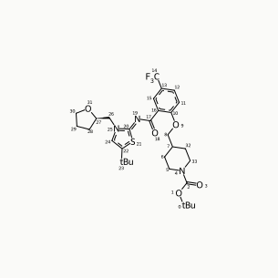 CC(C)(C)OC(=O)N1CCC(COc2ccc(C(F)(F)F)cc2C(=O)N=c2sc(C(C)(C)C)cn2C[C@H]2CCCO2)CC1